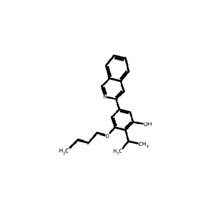 CCCCOc1cc(-c2cc3ccccc3cn2)cc(O)c1C(C)C